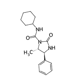 C[C@H]1[C@H](c2ccccc2)NC(=O)N1C(=O)NC1CCCCC1